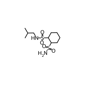 CC(C)CNS(=O)(=O)C1CCCCC1S(N)(=O)=O